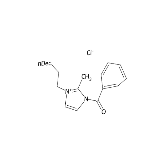 CCCCCCCCCCCC[n+]1ccn(C(=O)c2ccccc2)c1C.[Cl-]